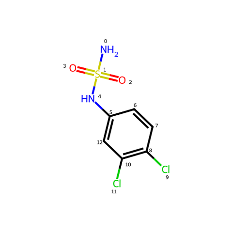 NS(=O)(=O)Nc1ccc(Cl)c(Cl)c1